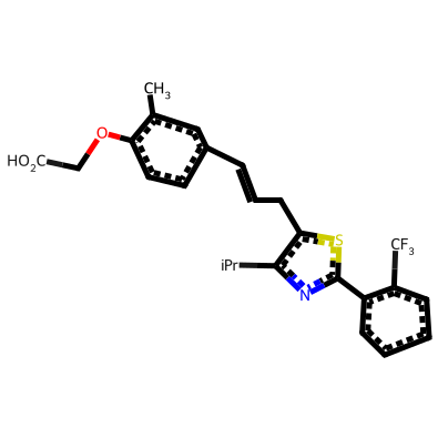 Cc1cc(C=CCc2sc(-c3ccccc3C(F)(F)F)nc2C(C)C)ccc1OCC(=O)O